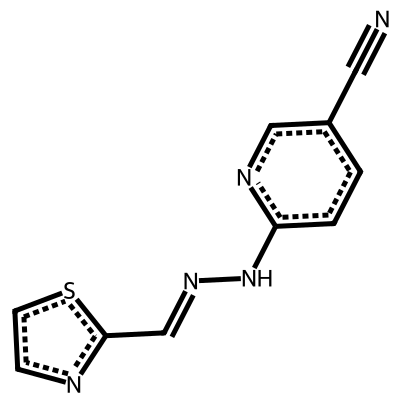 N#Cc1ccc(NN=Cc2nccs2)nc1